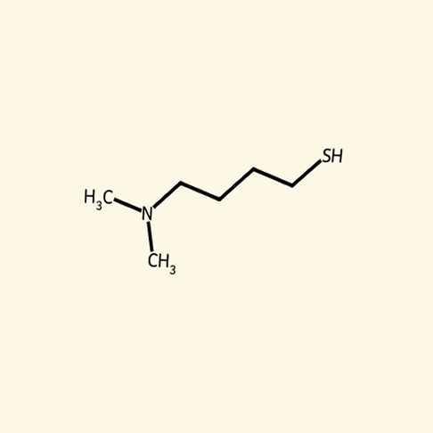 CN(C)CCCCS